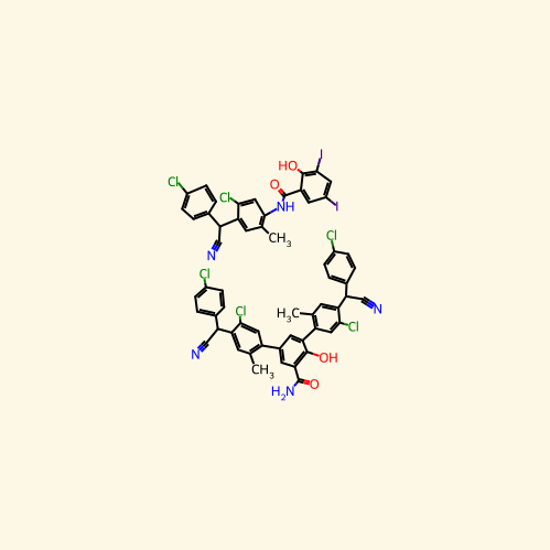 Cc1cc(C(C#N)c2ccc(Cl)cc2)c(Cl)cc1-c1cc(C(N)=O)c(O)c(-c2cc(Cl)c(C(C#N)c3ccc(Cl)cc3)cc2C)c1.Cc1cc(C(C#N)c2ccc(Cl)cc2)c(Cl)cc1NC(=O)c1cc(I)cc(I)c1O